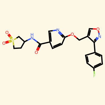 O=C(NC1CCS(=O)(=O)C1)c1ccc(OCc2conc2-c2ccc(F)cc2)nc1